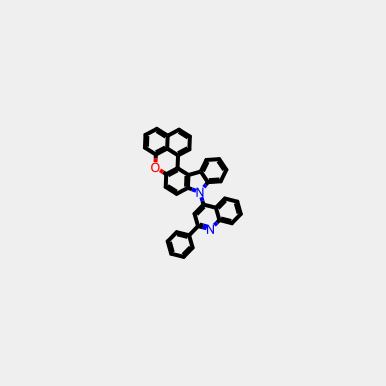 c1ccc(-c2cc(-n3c4ccccc4c4c5c(ccc43)Oc3cccc4cccc-5c34)c3ccccc3n2)cc1